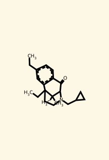 CCc1ccc2c(c1)C1(CC)CCN(CC3CC3)C(C2=O)C1(C)C